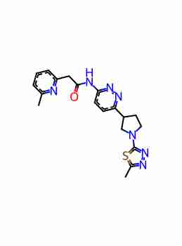 Cc1cccc(CC(=O)Nc2ccc(C3CCN(c4nnc(C)s4)C3)nn2)n1